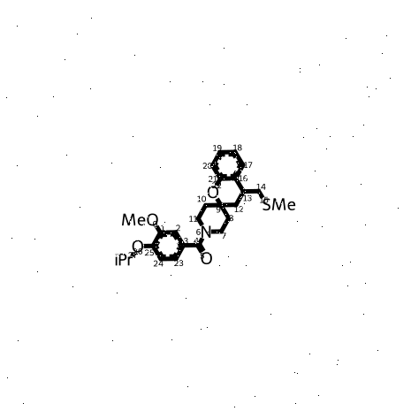 COc1cc(C(=O)N2CCC3(CC2)CC(CSC)c2ccccc2O3)ccc1OC(C)C